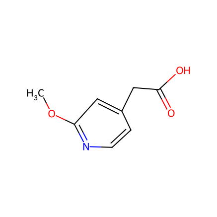 COc1cc(CC(=O)O)ccn1